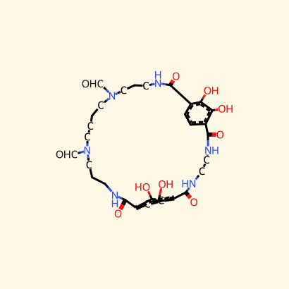 O=CN1CCCCN(C=O)CCCNC(=O)c2ccc(c(O)c2O)C(=O)NCCNC(=O)c2ccc(c(O)c2O)C(=O)NCCC1